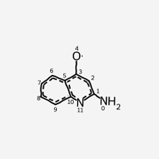 Nc1cc([O])c2ccccc2n1